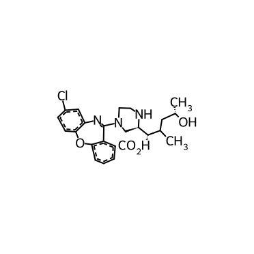 CC(C[C@H](C)O)[C@H](C(=O)O)[C@H]1CN(C2=Nc3cc(Cl)ccc3Oc3ccccc32)CCN1